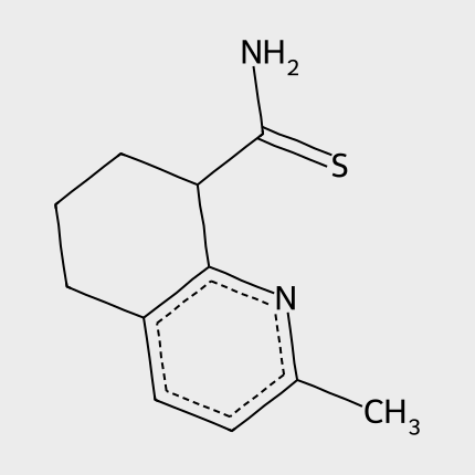 Cc1ccc2c(n1)C(C(N)=S)CCC2